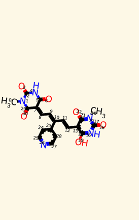 CN1C(=O)NC(=O)/C(=C\C=C(C=Cc2c(O)[nH]c(=O)n(C)c2=O)c2ccncc2)C1=O